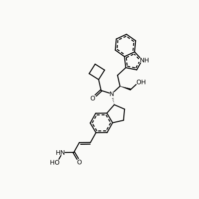 O=C(/C=C/c1ccc2c(c1)CC[C@H]2N(C(=O)C1CCC1)[C@H](CO)Cc1c[nH]c2ccccc12)NO